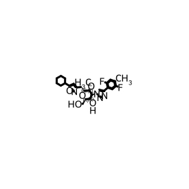 CO[C@@H]1[C@@H](n2cc(-c3cc(F)c(C)cc3F)nn2)[C@@H](O)[C@@H](CO)O[C@@H]1Cc1cc(C2CCCCC2)on1